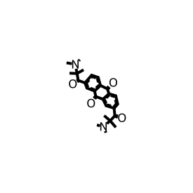 CN(C)C(C)(C)C(=O)c1ccc2c(c1)C(=O)c1cc(C(=O)C(C)(C)N(C)C)ccc1C2=O